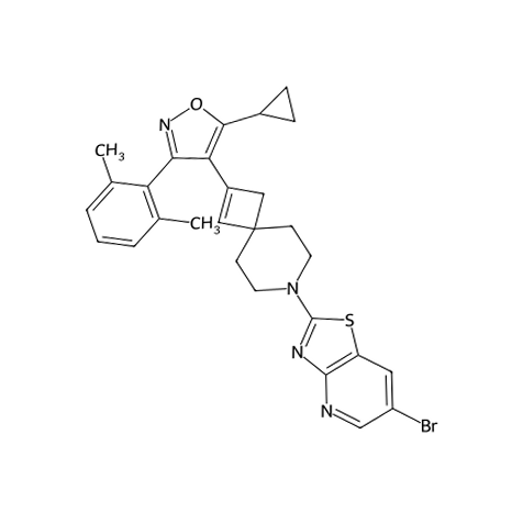 Cc1cccc(C)c1-c1noc(C2CC2)c1C1=CC2(CCN(c3nc4ncc(Br)cc4s3)CC2)C1